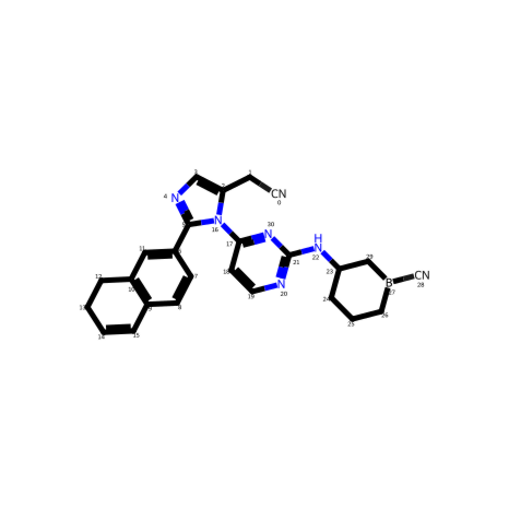 N#CCc1cnc(-c2ccc3c(c2)CCC=C3)n1-c1ccnc(NC2CCCB(C#N)C2)n1